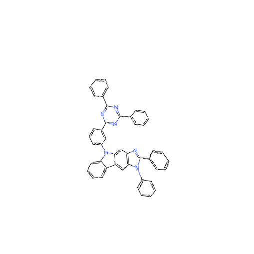 c1ccc(-c2nc(-c3ccccc3)nc(-c3cccc(-n4c5ccccc5c5cc6c(cc54)nc(-c4ccccc4)n6-c4ccccc4)c3)n2)cc1